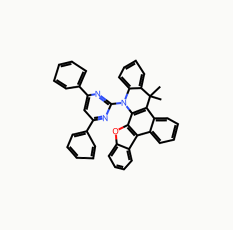 CC1(C)c2ccccc2N(c2nc(-c3ccccc3)cc(-c3ccccc3)n2)c2c1c1ccccc1c1c2oc2ccccc21